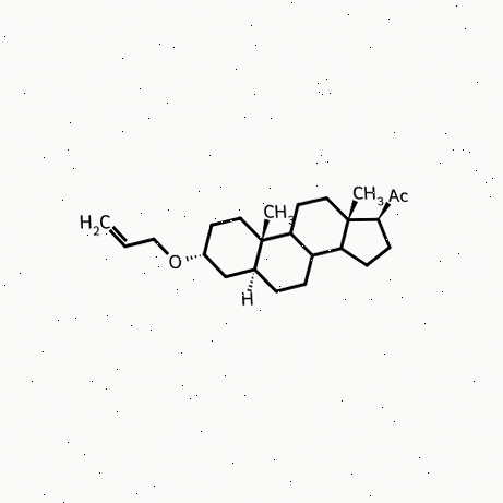 C=CCO[C@@H]1CC[C@]2(C)C3CC[C@@]4(C)C(CC[C@@H]4C(C)=O)C3CC[C@H]2C1